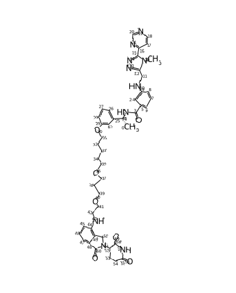 C[C@@H](NC(=O)c1cccc(NCc2nnc(-c3ccncn3)n2C)c1)c1cccc(OCCCCCOCCCOCCNc2cccc3c2CN(C2CCC(=O)NC2=O)C3=O)c1